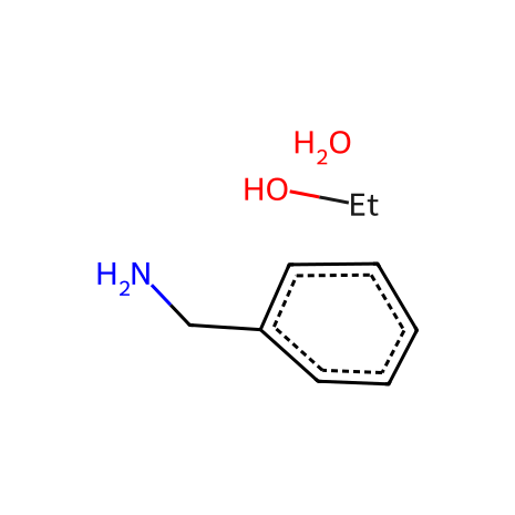 CCO.NCc1ccccc1.O